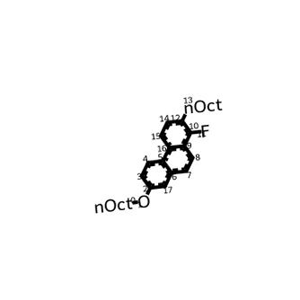 CCCCCCCCOc1ccc2c(ccc3c(F)c(CCCCCCCC)ccc32)c1